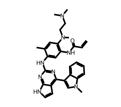 C=CC(=O)Nc1cc(Nc2nc(-c3cn(C)c4ccccc34)c3cc[nH]c3n2)c(C)cc1N(C)CCN(C)C